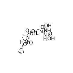 O=C(O)NC(NC(=O)O)N1CCC(ONC(=O)[C@@H]2CC[C@@H]3CN2C(=O)N3OCc2ccccc2)CC1